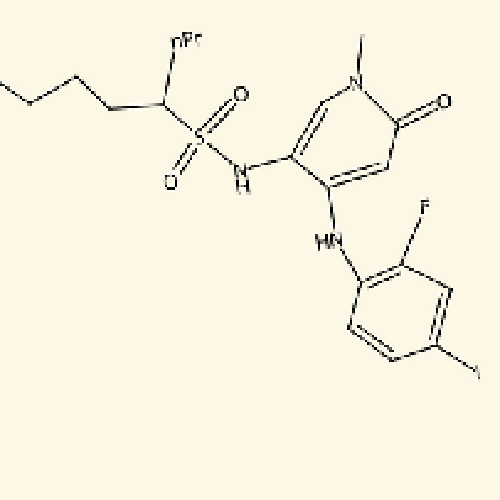 CCCC(CCCO)S(=O)(=O)Nc1cn(C)c(=O)cc1Nc1ccc(I)cc1F